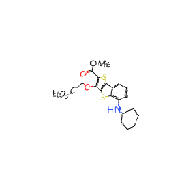 CCOC(=O)COc1c(C(=O)OC)sc2c1sc1c(NC3CCCCC3)cccc12